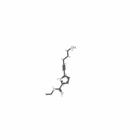 CCOC(=O)c1ccc(C#CCCCO)s1